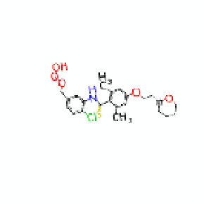 Cc1cc(OCC[C@H]2CCCCO2)cc(C)c1C(=S)Nc1cc(COOO)ccc1Cl